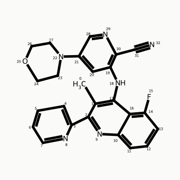 Cc1c(-c2ccccn2)nc2cccc(F)c2c1Nc1cc(N2CCOCC2)cnc1C#N